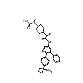 CN(C(=O)O)C1CCC(C(F)C(=O)Nc2cnc(-c3ccc(C4(N)CCC4)cc3)c(-c3ccccc3)c2)CC1